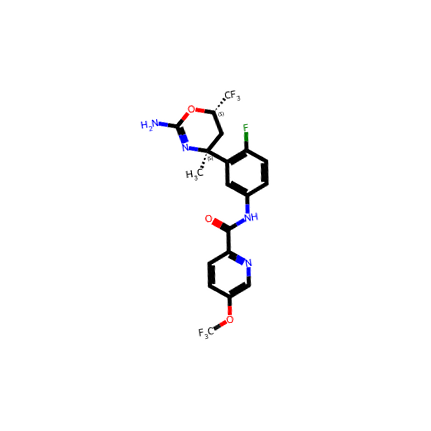 C[C@@]1(c2cc(NC(=O)c3ccc(OC(F)(F)F)cn3)ccc2F)C[C@@H](C(F)(F)F)OC(N)=N1